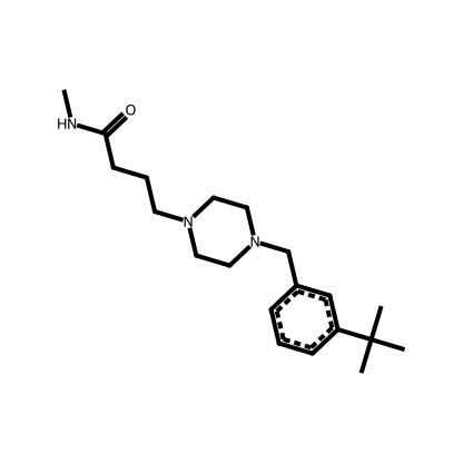 CNC(=O)CCCN1CCN(Cc2cccc(C(C)(C)C)c2)CC1